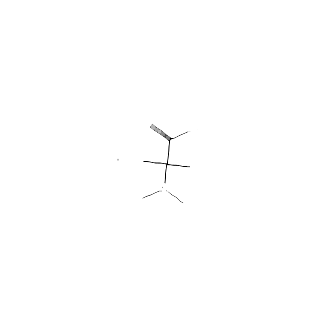 C=C(C(=O)O)C(C)(CC)N(C)C.Cl